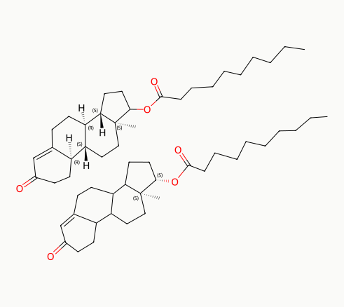 CCCCCCCCCC(=O)OC1CC[C@H]2[C@@H]3CCC4=CC(=O)CC[C@@H]4[C@H]3CC[C@]12C.CCCCCCCCCC(=O)O[C@H]1CCC2C3CCC4=CC(=O)CCC4C3CC[C@@]21C